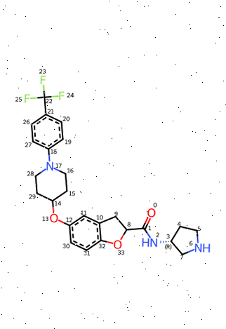 O=C(N[C@@H]1CCNC1)C1Cc2cc(OC3CCN(c4ccc(C(F)(F)F)cc4)CC3)ccc2O1